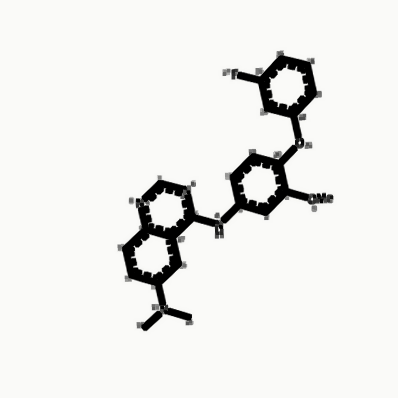 COc1cc(Nc2ncnc3ccc(N(C)C)cc23)ccc1Oc1cccc(F)c1